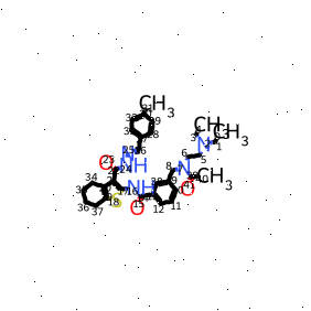 CCN(CC)CCN(Cc1cccc(C(=O)Nc2sc3c(c2C(=O)NN=Cc2ccc(C)cc2)CCCC3)c1)C(C)=O